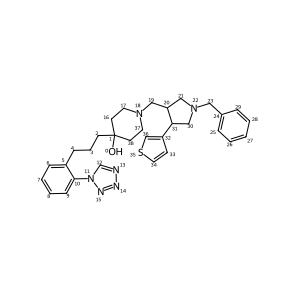 OC1(CCCc2ccccc2-n2cnnn2)CCN(CC2CN(Cc3ccccc3)CC2c2ccsc2)CC1